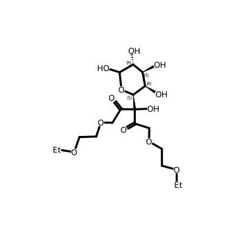 CCOCCOCC(=O)C(O)(C(=O)COCCOCC)[C@H]1OC(O)[C@H](O)[C@@H](O)[C@H]1O